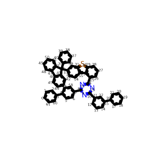 c1ccc(-c2ccc(-c3nc(-c4cccc(-c5ccccc5)c4)nc(-c4cccc5sc6cc(C7(c8ccccc8)c8ccccc8-c8ccccc87)ccc6c45)n3)cc2)cc1